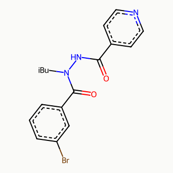 CCC(C)N(NC(=O)c1ccncc1)C(=O)c1cccc(Br)c1